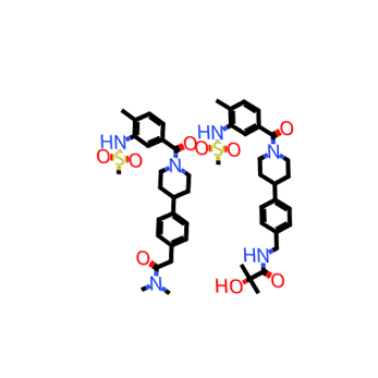 Cc1ccc(C(=O)N2CCC(c3ccc(CC(=O)N(C)C)cc3)CC2)cc1NS(C)(=O)=O.Cc1ccc(C(=O)N2CCC(c3ccc(CNC(=O)C(C)(C)O)cc3)CC2)cc1NS(C)(=O)=O